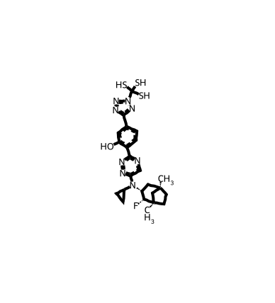 C[C@]12CC[C@](C)(C1)[C@H](F)[C@H](N(c1cnc(-c3ccc(-c4nnn(C(S)(S)S)n4)cc3O)nn1)C1CC1)C2